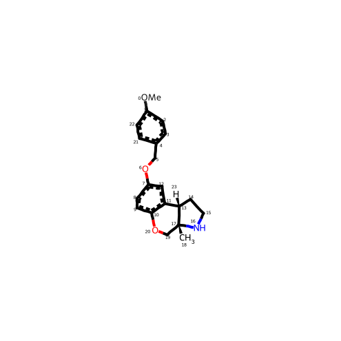 COc1ccc(COc2ccc3c(c2)[C@@H]2CCN[C@]2(C)CO3)cc1